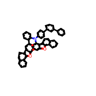 c1ccc(-c2cccc(-c3ccc(N(c4ccccc4-c4ccc5oc6c7ccccc7ccc6c5c4)c4cccc5oc6c7ccccc7ccc6c45)cc3)c2)cc1